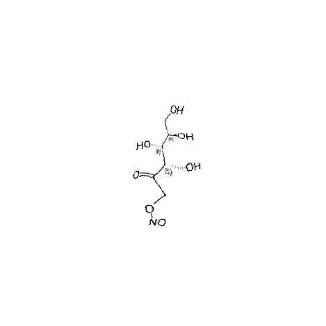 O=NOCC(=O)[C@@H](O)[C@H](O)[C@H](O)CO